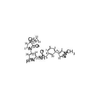 Cn1cc(-c2cccc(CC(=O)Nc3cc(N4CC[C@@](C)(C5CC5)C4=O)cc(F)n3)c2)cn1